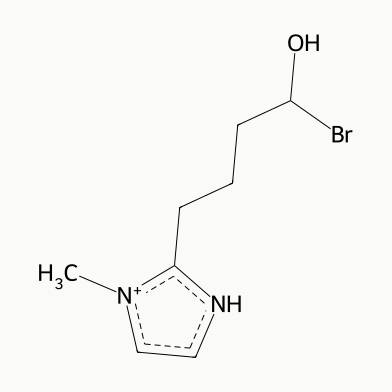 C[n+]1cc[nH]c1CCCC(O)Br